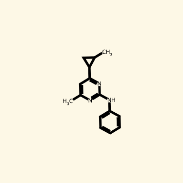 Cc1cc(C2CC2C)nc(Nc2ccccc2)n1